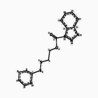 O=C(OCCSSc1ccccn1)n1nnc2ccccc21